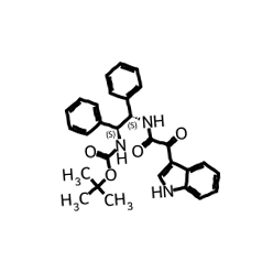 CC(C)(C)OC(=O)N[C@@H](c1ccccc1)[C@@H](NC(=O)C(=O)c1c[nH]c2ccccc12)c1ccccc1